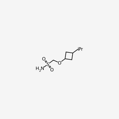 CC(C)C1CC(OCS(N)(=O)=O)C1